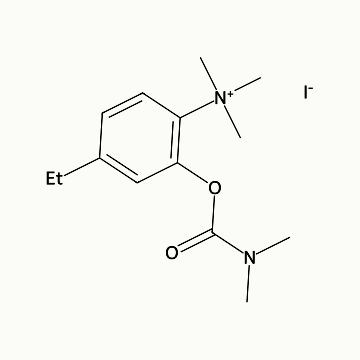 CCc1ccc([N+](C)(C)C)c(OC(=O)N(C)C)c1.[I-]